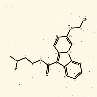 CN(C)CCNC(=O)c1c2ccccc2n2cc(OCC#N)ccc12